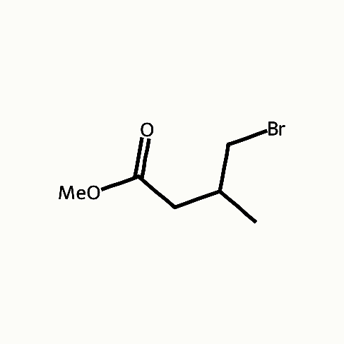 COC(=O)CC(C)CBr